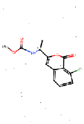 C[C@H](NC(=O)OC(C)(C)C)c1cc2cccc(Cl)c2c(=O)o1